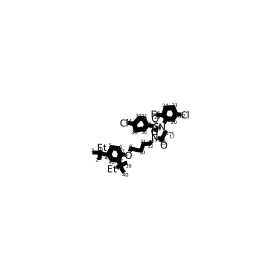 CCC(C)(C)c1ccc(OCCCCNC(=O)[C@@H](C)N(c2cc(Cl)ccc2F)S(=O)(=O)c2ccc(Cl)cc2)c(C(C)(C)CC)c1